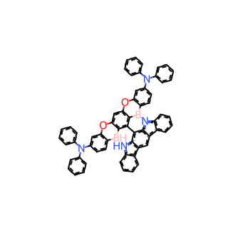 B1c2ccc(N(c3ccccc3)c3ccccc3)cc2Oc2cc3c4c(c21)-c1c2[nH]c5ccccc5c2cc2c5ccccc5n(c12)B4c1ccc(N(c2ccccc2)c2ccccc2)cc1O3